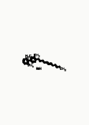 Br.CCCCCCCCCCCCc1ccc(-c2ccccc2P)c(C)c1C